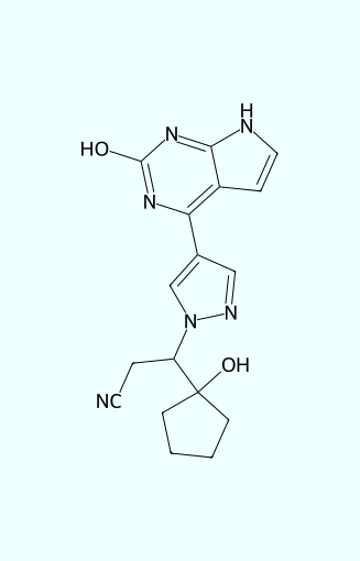 N#CCC(n1cc(-c2nc(O)nc3[nH]ccc23)cn1)C1(O)CCCC1